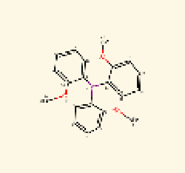 CCCOc1ccccc1P(c1ccccc1OCCC)c1ccccc1OCCC